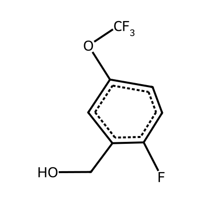 OCc1cc(OC(F)(F)F)ccc1F